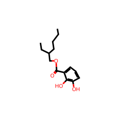 CCCCC(CC)COC(=O)c1cccc(O)c1O